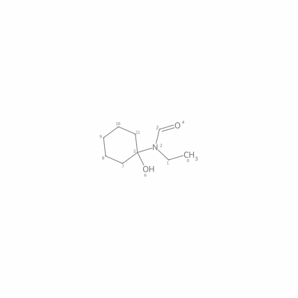 CCN([C]=O)C1(O)CCCCC1